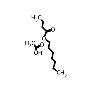 CC(=O)O.CCCCCCCOC(=O)CCC